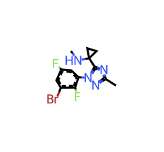 CNC1(c2nc(C)nn2-c2cc(F)cc(Br)c2F)CC1